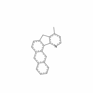 Cc1ccnc2c1Cc1ccc3cc4ccccc4cc3c1-2